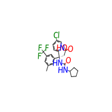 Cc1cc(C(F)(F)F)cc([C@](CC(=O)O)(NC(=O)NC2CCCC2)c2ccc(Cl)cn2)c1